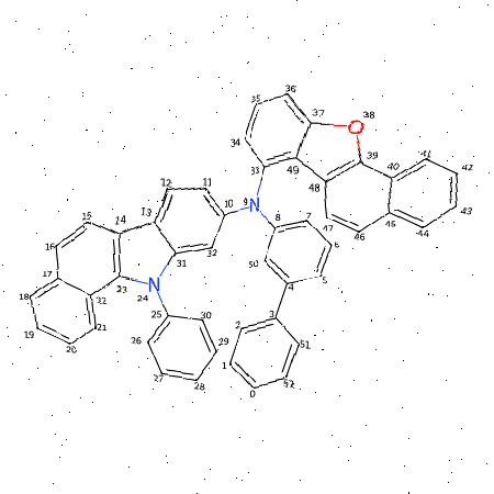 c1ccc(-c2cccc(N(c3ccc4c5ccc6ccccc6c5n(-c5ccccc5)c4c3)c3cccc4oc5c6ccccc6ccc5c34)c2)cc1